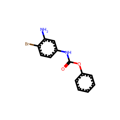 Nc1cc(NC(=O)Oc2ccccc2)ccc1Br